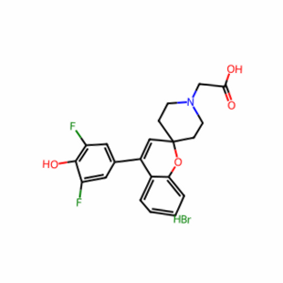 Br.O=C(O)CN1CCC2(C=C(c3cc(F)c(O)c(F)c3)c3ccccc3O2)CC1